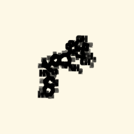 CCCN(C(=O)C1=Cc2ccc(C3(C(=O)Nc4cnc5c(c4)CNCC5)CC3)cc2N=C(N)C1)N(C(=O)O)C1(CC)CCC1